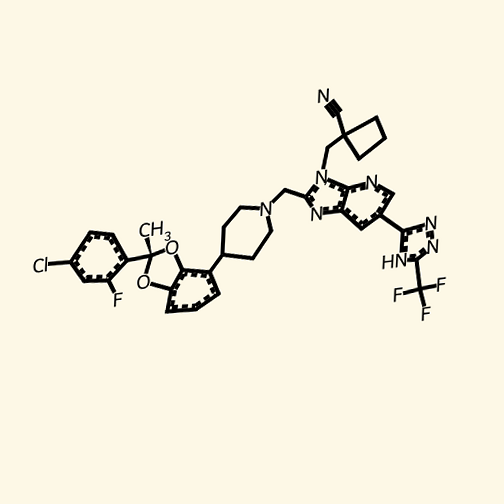 C[C@]1(c2ccc(Cl)cc2F)Oc2cccc(C3CCN(Cc4nc5cc(-c6nnc(C(F)(F)F)[nH]6)cnc5n4CC4(C#N)CCC4)CC3)c2O1